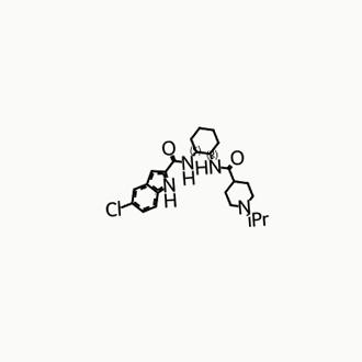 CC(C)N1CCC(C(=O)N[C@@H]2CCCC[C@@H]2NC(=O)c2cc3cc(Cl)ccc3[nH]2)CC1